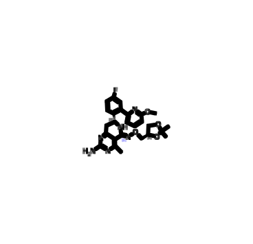 COc1cccc(-c2cc(F)ccc2[C@H]2Cc3nc(N)nc(C)c3/C(=N/OC[C@H]3COC(C)(C)O3)N2)n1